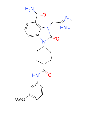 COc1cc(NC(=O)[C@H]2CC[C@@H](n3c(=O)n(Cc4ncc[nH]4)c4c(C(N)=O)cccc43)CC2)ccc1C